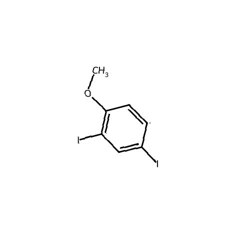 COc1c[c]c(I)cc1I